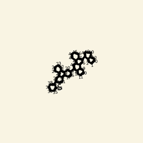 c1ccc2c(-c3cc4c5ccccc5c(-c5ccc6c(c5)c5ccccc5c5cc7c(cc65)sc5ccccc57)cc4c4ccccc34)cccc2c1